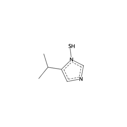 CC(C)c1cncn1S